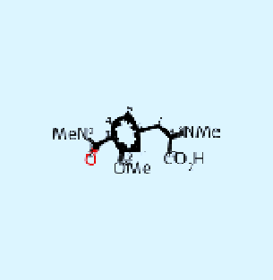 CNC(=O)c1ccc(CC(NC)C(=O)O)cc1OC